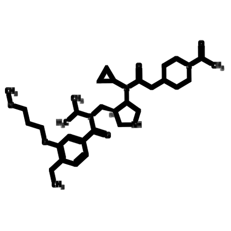 CCc1ccc(C(=O)N(C[C@@H]2CNCC2N(C(=O)CC2CCN(C(C)=O)CC2)C2CC2)C(C)C)cc1OCCCOC